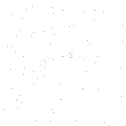 CC(C)(C(=O)Nc1ccc(C#N)cc1C1CC1)n1cc(C#CC2CN(c3ccc4c(c3)C(=O)N(C3CCC(=O)NC3=O)C4=O)C2)cn1